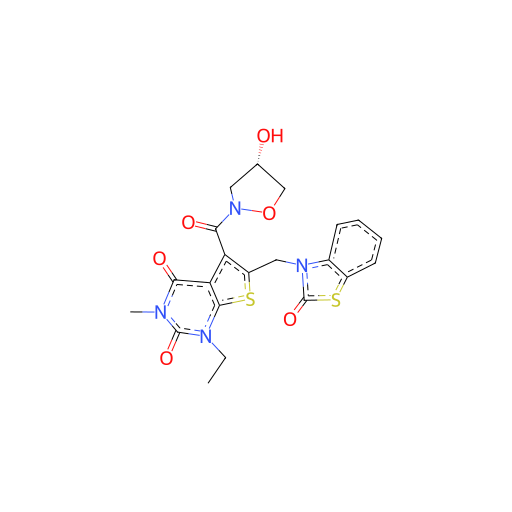 CCn1c(=O)n(C)c(=O)c2c(C(=O)N3C[C@H](O)CO3)c(Cn3c(=O)sc4ccccc43)sc21